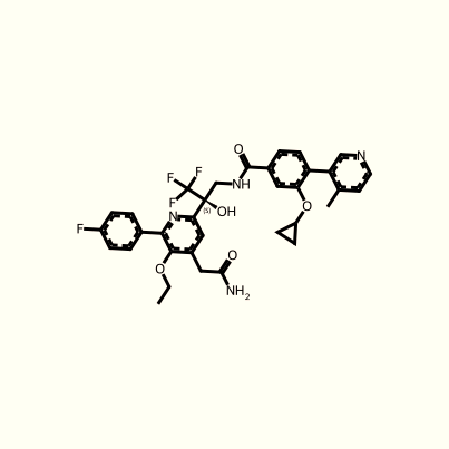 CCOc1c(CC(N)=O)cc([C@@](O)(CNC(=O)c2ccc(-c3cnccc3C)c(OC3CC3)c2)C(F)(F)F)nc1-c1ccc(F)cc1